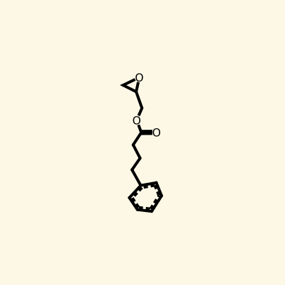 O=C(CCCc1ccccc1)OCC1CO1